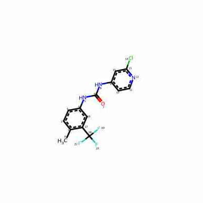 Cc1ccc(NC(=O)Nc2ccnc(Cl)c2)cc1C(F)(F)F